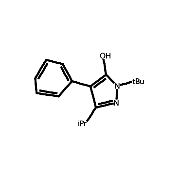 CC(C)c1nn(C(C)(C)C)c(O)c1-c1ccccc1